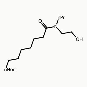 CCCCCCCCCCCCCCCC(=O)N(CCC)CCO